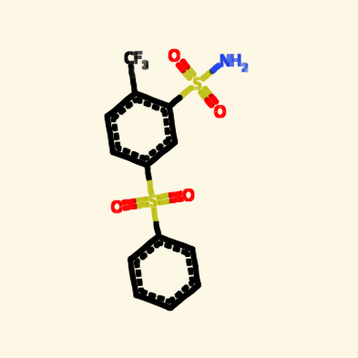 NS(=O)(=O)c1cc(S(=O)(=O)c2ccccc2)ccc1C(F)(F)F